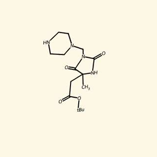 CC(C)(C)OC(=O)CC1(C)NC(=O)N(CN2CCNCC2)C1=O